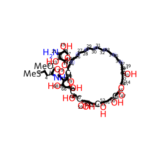 COC(=O)[C@H](CCSC)NC(=O)C1[C@@H]2CC(O[C@@H]3OC[C@@H](O)[C@H](N)[C@@H]3O)/C=C/C=C/C=C/C=C/C=C/C=C/C=C/[C@H](C)[C@@H](O)C[C@H](C)OC(=O)CC(O)CC(O)CC[C@@H](O)C(O)CC(O)CC(O)(C[C@@H]1O)O2